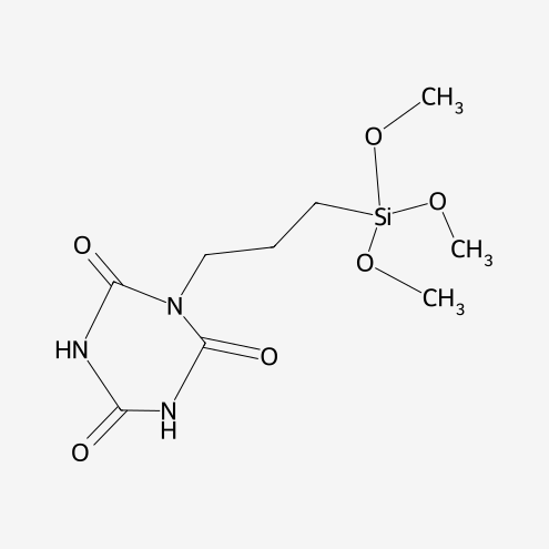 CO[Si](CCCn1c(=O)[nH]c(=O)[nH]c1=O)(OC)OC